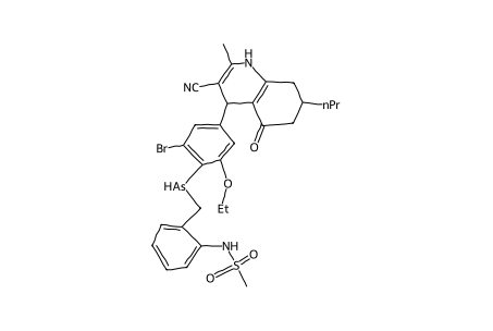 CCCC1CC(=O)C2=C(C1)NC(C)=C(C#N)C2c1cc(Br)c([AsH]Cc2ccccc2NS(C)(=O)=O)c(OCC)c1